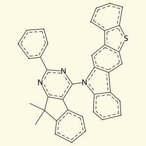 CC1(C)c2ccccc2-c2c(-n3c4ccccc4c4cc5sc6ccccc6c5cc43)nc(-c3ccccc3)nc21